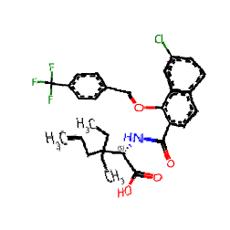 CCCC(C)(CC)[C@H](NC(=O)c1ccc2ccc(Cl)cc2c1OCc1ccc(C(F)(F)F)cc1)C(=O)O